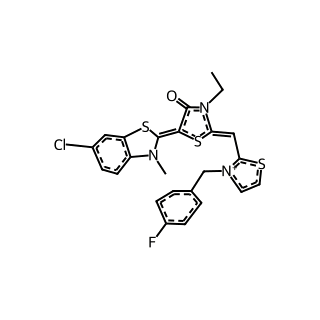 CCn1c(=O)/c(=C2\Sc3cc(Cl)ccc3N2C)s/c1=C\c1scc[n+]1Cc1ccc(F)cc1